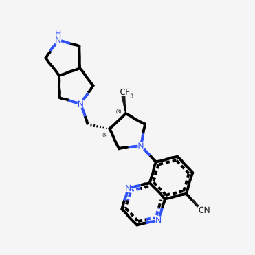 N#Cc1ccc(N2C[C@H](CN3CC4CNCC4C3)[C@@H](C(F)(F)F)C2)c2nccnc12